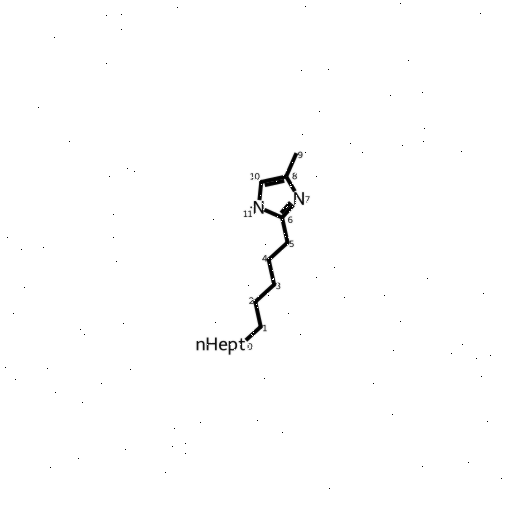 CCCCCCCCCCCCC1=NC(C)=C[N]1